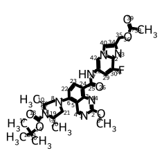 COc1ncc2c(N3C[C@@H](C)N(C(=O)OC(C)(C)C)[C@@H](C)C3)ccc(C(=O)Nc3cc(F)c4nc(COC(C)=O)cn4c3)c2n1